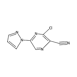 N#Cc1ncc(-n2cccn2)nc1Cl